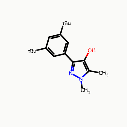 Cc1c(O)c(-c2cc(C(C)(C)C)cc(C(C)(C)C)c2)nn1C